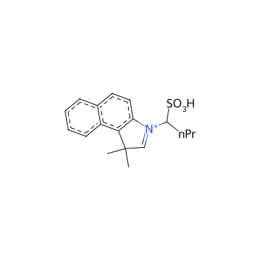 CCCC([N+]1=CC(C)(C)c2c1ccc1ccccc21)S(=O)(=O)O